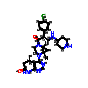 C[C@@H]1CC(=O)Nc2ncnc(N3CCN(C(=O)[C@H](CNC4CCNCC4)c4ccc(Cl)cc4)[C@@H]4C[C@@H]43)c21